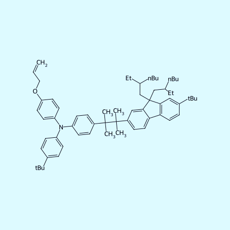 C=CCOc1ccc(N(c2ccc(C(C)(C)C)cc2)c2ccc(C(C)(C)C(C)(C)c3ccc4c(c3)C(CC(CC)CCCC)(CC(CC)CCCC)c3cc(C(C)(C)C)ccc3-4)cc2)cc1